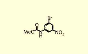 COC(=O)Nc1cc(Br)cc([N+](=O)[O-])c1